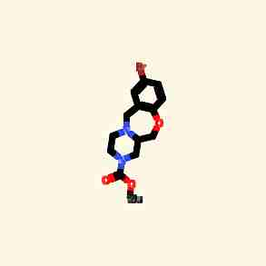 CC(C)(C)OC(=O)N1CCN2Cc3cc(Br)ccc3OCC2C1